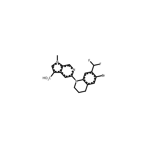 Cn1cc(C(=O)O)c2cc(N3CCCc4cc(Br)c(C(F)F)cc43)ncc21